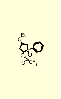 CCOC1CCS(OS(=O)(=O)C(F)(F)F)(c2ccccc2)C1